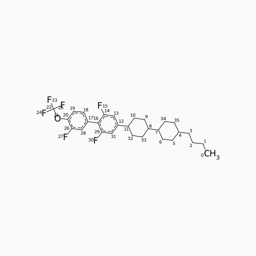 CCCCC1CCC(C2CCC(c3cc(F)c(-c4ccc(OC(F)(F)F)c(F)c4)c(F)c3)CC2)CC1